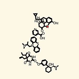 C=CCC1(C(C)CC)C(=O)NC(=O)NC1=O.CC(CN1c2ccccc2Sc2ccccc21)N(C)C.COc1cccc([C@@]2(O)CCCC[C@@H]2CN(C)C)c1.O=C(O)c1cccnc1.O=C1CC[C@@]2(O)[C@H]3Cc4ccc(O)c5c4[C@@]2(CCN3CC2CC2)[C@H]1O5